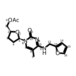 CC(=O)OC[C@@H]1CC[C@H](n2cc(C)c(NCc3ccco3)nc2=O)O1